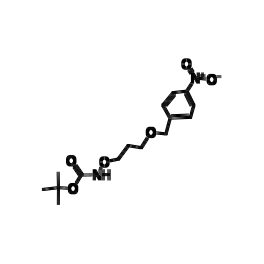 CC(C)(C)OC(=O)NOCCCOCc1ccc([N+](=O)[O-])cc1